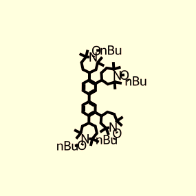 CCCCON1C(C)(C)CCC(c2ccc(-c3ccc(C4CCC(C)(C)N(OCCCC)C(C)(C)C4)c(C4CCC(C)(C)N(OCCCC)C(C)(C)C4)c3)cc2C2CCC(C)(C)N(OCCCC)C(C)(C)C2)CC1(C)C